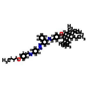 CCCCOc1ccc(C=Nc2ccc(N=Nc3ccc(N=Cc4ccc(OC(CCC)(CCCC)C(CCC)(CCCC)C(CCC)(CCCC)CCCC)cc4)c4ccccc34)cc2)cc1